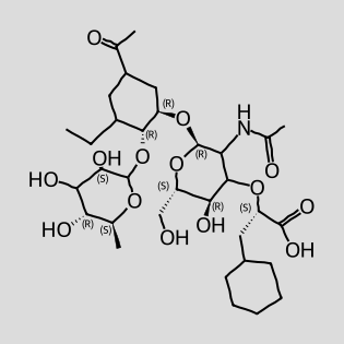 CCC1CC(C(C)=O)C[C@@H](O[C@@H]2O[C@@H](CO)[C@H](O)C(O[C@@H](CC3CCCCC3)C(=O)O)C2NC(C)=O)[C@@H]1OC1O[C@@H](C)[C@H](O)C(O)[C@@H]1O